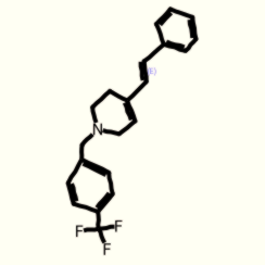 FC(F)(F)c1ccc(CN2CC=C(/C=C/c3ccccc3)CC2)cc1